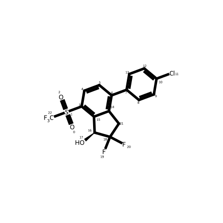 O=S(=O)(c1ccc(-c2ccc(Cl)cc2)c2c1[C@H](O)C(F)(F)C2)C(F)(F)F